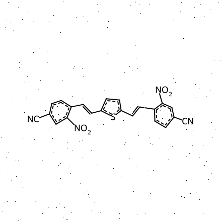 N#Cc1ccc(/C=C/c2ccc(/C=C/c3ccc(C#N)cc3[N+](=O)[O-])s2)c([N+](=O)[O-])c1